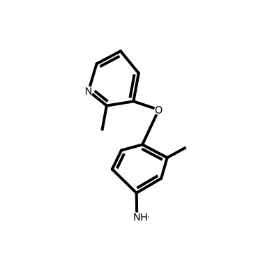 Cc1cc([NH])ccc1Oc1cccnc1C